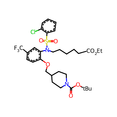 CCOC(=O)CCCCCN(c1cc(C(F)(F)F)ccc1OCC1CCN(C(=O)OC(C)(C)C)CC1)S(=O)(=O)c1ccccc1Cl